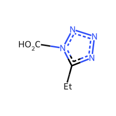 CCc1nnnn1C(=O)O